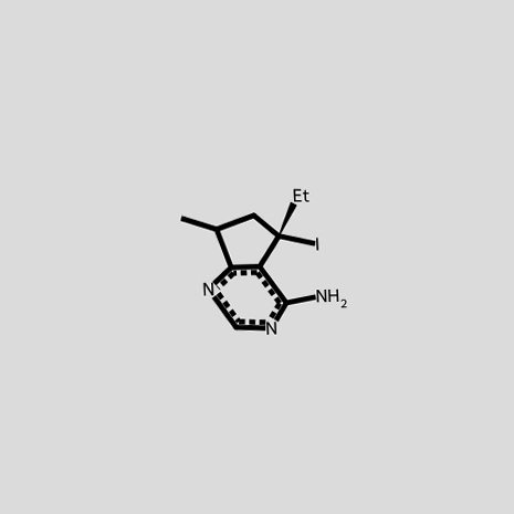 CC[C@]1(I)CC(C)c2ncnc(N)c21